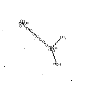 CCCCCCCCCCCC(CCCCCCCCCCC(=O)O)(C(=O)O)C(=O)NCCOCCOCCOCCOCCOCCOCCOCCOCC(C(=O)O)N1C(=O)CCC1=O